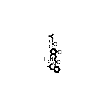 Cc1cc(OC(=O)OCC(C)C)cc(Cl)c1C[C@@H](N)C(=O)N1CC(C)Cc2ccccc21